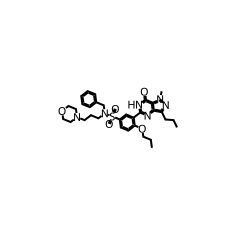 CCCOc1ccc(S(=O)(=O)N(CCCN2CCOCC2)Cc2ccccc2)cc1-c1nc2c(CCC)nn(C)c2c(=O)[nH]1